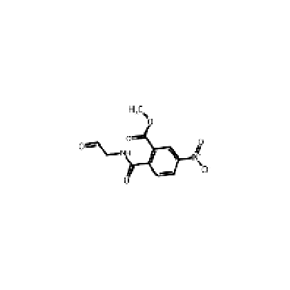 COC(=O)c1cc([N+](=O)[O-])ccc1C(=O)NCC=O